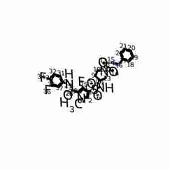 Cn1cc(S(=O)(=O)N[C@@H]2CCN(S(=O)(=O)/C=C/c3ccccc3)C2)c(F)c1C(=O)Nc1ccc(F)c(F)c1